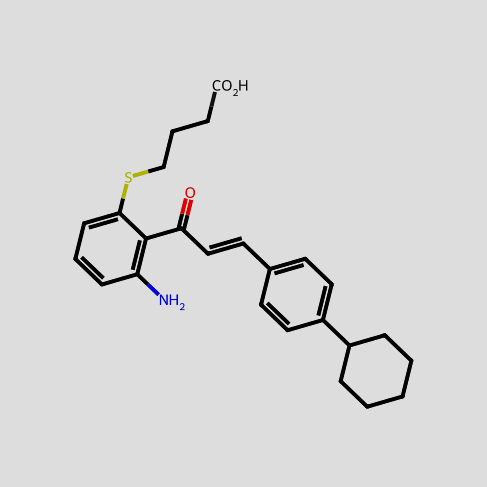 Nc1cccc(SCCCC(=O)O)c1C(=O)C=Cc1ccc(C2CCCCC2)cc1